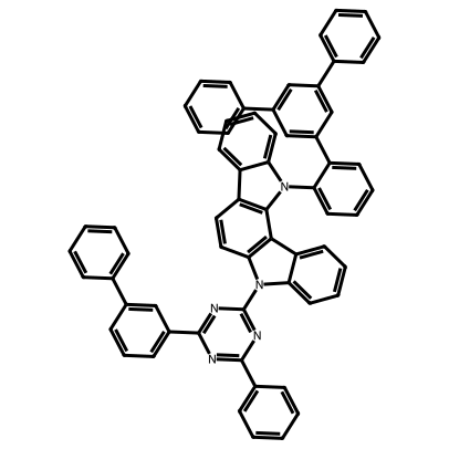 c1ccc(-c2cccc(-c3nc(-c4ccccc4)nc(-n4c5ccccc5c5c4ccc4c6ccccc6n(-c6ccccc6-c6cc(-c7ccccc7)cc(-c7ccccc7)c6)c45)n3)c2)cc1